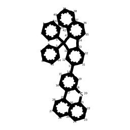 c1ccc(C2(c3ccccc3)c3cc(-c4ccc5c(c4)Sc4cccc6cccc-5c46)ccc3-c3ccc4ccccc4c32)cc1